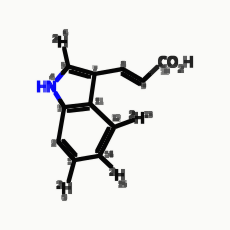 [2H]c1cc2[nH]c([2H])c(C=CC(=O)O)c2c([2H])c1[2H]